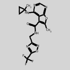 Cc1oc2ncnc(NC3(C)CC3)c2c1C(=O)NCc1noc(C(F)(F)F)n1